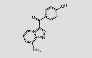 Cc1cccn2c(C(=O)c3ccc(O)cc3)cnc12